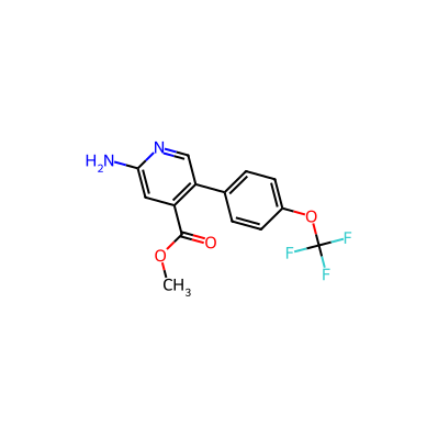 COC(=O)c1cc(N)ncc1-c1ccc(OC(F)(F)F)cc1